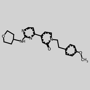 COc1ccc(CCn2ccc(-c3ccnc(NC4CCOCC4)n3)cc2=O)cc1